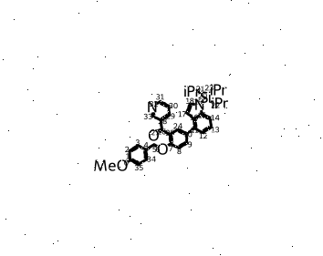 COc1ccc(COc2ccc(-c3cccc4c3ccn4[Si](C(C)C)(C(C)C)C(C)C)cc2C(=O)c2cccnc2)cc1